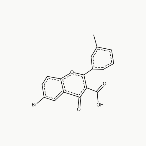 Cc1cccc(-c2oc3ccc(Br)cc3c(=O)c2C(=O)O)c1